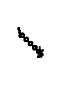 C=CCCC1CCC(C2CCC(C3CCC(c4ccc(-c5ccc(OCCC)c(F)c5F)cc4)CC3)CC2)CO1